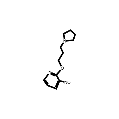 O=Nc1cccnc1OCCCN1CCCC1